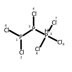 ClP(Cl)P(Cl)[PH](Cl)(Cl)Cl